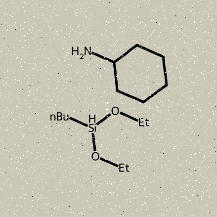 CCCC[SiH](OCC)OCC.NC1CCCCC1